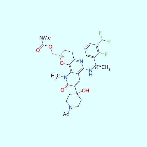 CNC(=O)OC[C@@H]1CCc2nc(N[C@H](C)c3cccc(C(F)F)c3F)c3cc(C4(O)CCN(C(C)=O)CC4)c(=O)n(C)c3c2O1